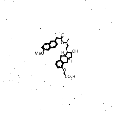 COc1ccc2cc([C@H](C)C(=O)O[C@@H](C)CC[C@@H]3[C@H]4Cc5cccc(OCC(=O)O)c5C[C@H]4C[C@H]3O)ccc2c1